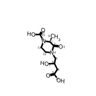 C[C@H]1C(=O)N(CC(O)CC(=O)O)CCN1C(=O)O